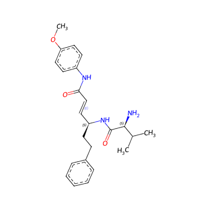 COc1ccc(NC(=O)/C=C/[C@H](CCc2ccccc2)NC(=O)[C@@H](N)C(C)C)cc1